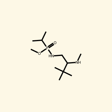 CNC(CNP(=O)(OC)C(C)C)C(C)(C)C